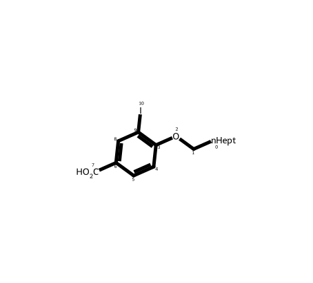 CCCCCCCCOc1ccc(C(=O)O)cc1I